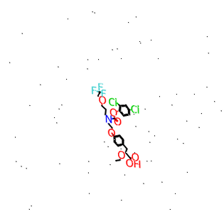 CCOC(Cc1ccc(OCCN(CCCOCC(F)(F)F)C(=O)Oc2ccc(Cl)cc2Cl)cc1)C(=O)O